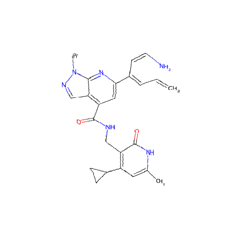 C=C/C=C(\C=C/N)c1cc(C(=O)NCc2c(C3CC3)cc(C)[nH]c2=O)c2cnn(C(C)C)c2n1